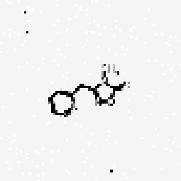 Cn1c(Cc2ccccn2)noc1=O